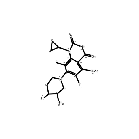 CCC1CCN(c2c(F)c(OC)c3c(=O)[nH]c(=O)n(C4CC4)c3c2C)CC1N